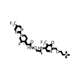 C[C@@H](CONC(=O)/C=C1\CCN(c2ncc(C(F)(F)F)cn2)CC1F)Nc1cnn(COCC[Si](C)(C)C)c(=O)c1C(F)(F)F